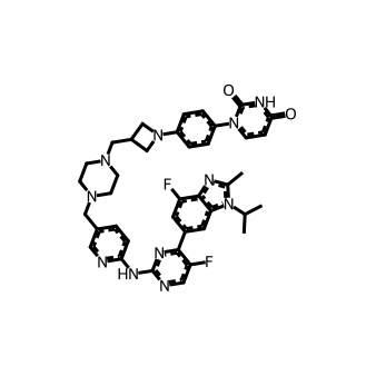 Cc1nc2c(F)cc(-c3nc(Nc4ccc(CN5CCN(CC6CN(c7ccc(-n8ccc(=O)[nH]c8=O)cc7)C6)CC5)cn4)ncc3F)cc2n1C(C)C